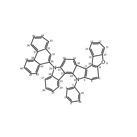 c1ccc(-n2c3ccc4oc5ccccc5c4c3c3ccc4c(c5ccccc5n4-c4cc5ccccc5c5ccccc45)c32)cc1